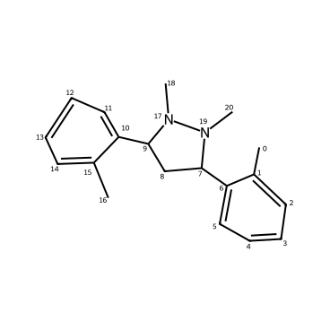 Cc1ccccc1C1CC(c2ccccc2C)N(C)N1C